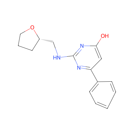 Oc1cc(-c2ccccc2)nc(NC[C@@H]2CCCO2)n1